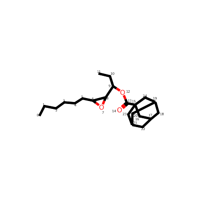 CCCCCCC1OC1C(CC)OC(=O)C12CC3CC(CC(C3)C1)C2